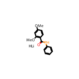 COc1ccc(C(=O)Pc2ccccc2)c(OC)c1.[LiH]